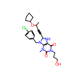 CC(C#CC1Nc2c(n(C)c(=O)n(CCCO)c2=O)N1Cc1ccc(Cl)cc1)OC1CCCC1